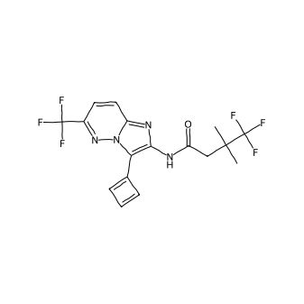 CC(C)(CC(=O)Nc1nc2ccc(C(F)(F)F)nn2c1C1=CC=C1)C(F)(F)F